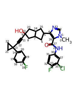 Cn1cnc(C2CC3CC(O)(C#CC4(c5ccc(F)cc5)CC4)CC3C2)c1C(=O)Nc1ccc(F)c(Cl)c1